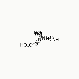 Cl.Cl.O=C(O)CCOC1CCN(C(=O)N2CCN(C3CCNCC3)CC2)CC1